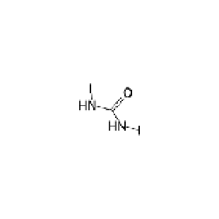 O=C(NI)NI